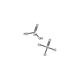 O=[PH](O)O.[O]=[Sb]([Cl])([Cl])[Cl]